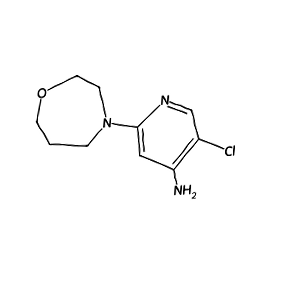 Nc1cc(N2CCCOCC2)ncc1Cl